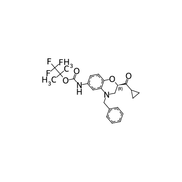 CC(C)(OC(=O)Nc1ccc2c(c1)N(Cc1ccccc1)C[C@H](C(=O)C1CC1)O2)C(F)(F)F